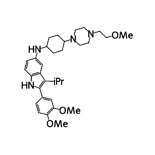 COCCN1CCN(C2CCC(Nc3ccc4[nH]c(-c5ccc(OC)c(OC)c5)c(C(C)C)c4c3)CC2)CC1